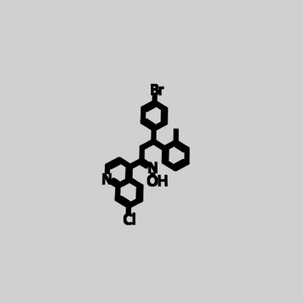 Cc1ccccc1C(CC(=NO)c1ccnc2cc(Cl)ccc12)c1ccc(Br)cc1